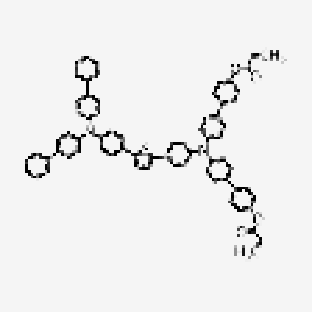 C=CC(=O)Oc1ccc(-c2ccc(N(c3ccc(-c4ccc(OC(=O)C=C)cc4)cc3)c3ccc(-c4ccc(-c5ccc(N(c6ccc(-c7ccccc7)cc6)c6ccc(-c7ccccc7)cc6)cc5)s4)cc3)cc2)cc1